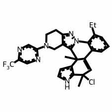 CCc1cccc2c1-n1nc3c(c1C1(C)C2=CC(C)(Cl)c2[nH]ccc21)CN(c1cnc(C(F)(F)F)cn1)CC3